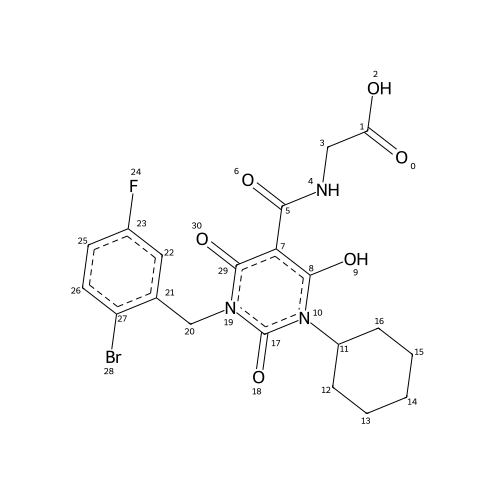 O=C(O)CNC(=O)c1c(O)n(C2CCCCC2)c(=O)n(Cc2cc(F)ccc2Br)c1=O